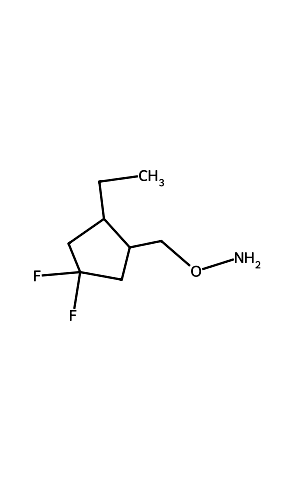 CCC1CC(F)(F)CC1CON